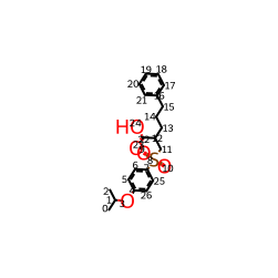 CC(C)Oc1ccc(S(=O)(=O)CC(CCCc2ccccc2)C(=O)O)cc1